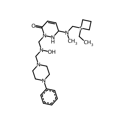 CCS1(CN(C)C2C=CC(=O)N(CN(O)CN3CCN(c4ccccc4)CC3)N2)CCC1